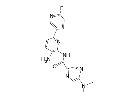 CN(C)c1cnc(C(=O)Nc2nc(-c3ccc(F)nc3)ccc2N)cn1